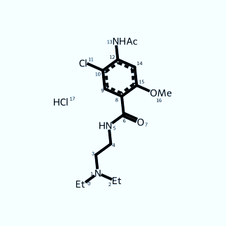 CCN(CC)CCNC(=O)c1cc(Cl)c(NC(C)=O)cc1OC.Cl